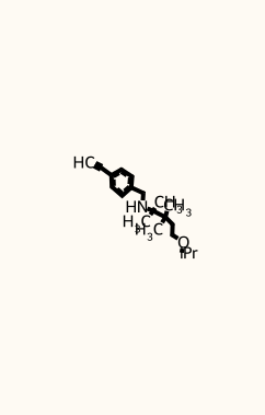 C#Cc1ccc(CNC(C)(C)C(C)(C)CCOC(C)C)cc1